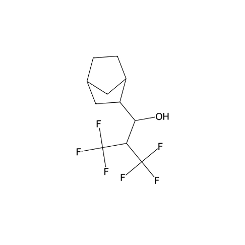 OC(C1CC2CCC1C2)C(C(F)(F)F)C(F)(F)F